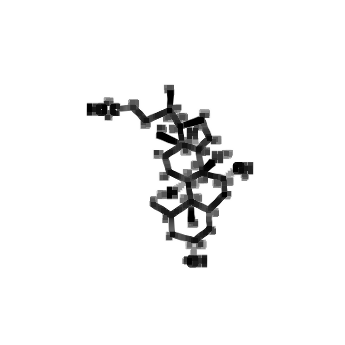 CC1C[C@@H](O)CC2C[C@@H](O)[C@@H]3[C@H](CC[C@]4(C)[C@@H]([C@H](C)CCC(=O)O)CC[C@@H]34)[C@@]12C